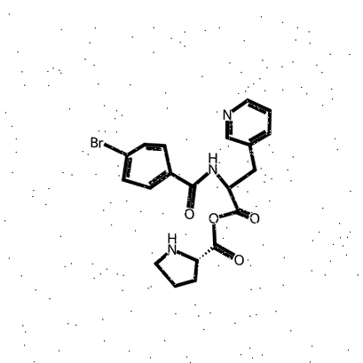 O=C(NC(Cc1cccnc1)C(=O)OC(=O)[C@@H]1CCCN1)c1ccc(Br)cc1